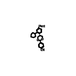 CCCC(C)c1ccc([C@H]2CO[C@H](c3ccc(C#N)cc3)OC2)c(C2CCCCC2)c1